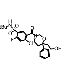 CC(C)(C)NS(=O)(=O)c1cc(C(=O)N2CCC(CCO)(c3ccccc3)OC2)c(Cl)cc1F